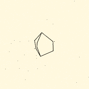 [CH]1CC2[CH]CC1CC2